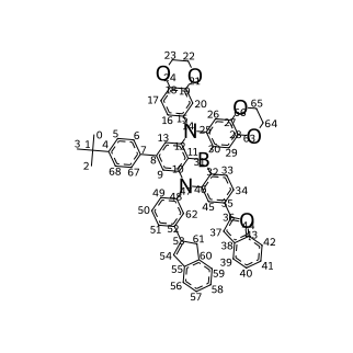 CC(C)(C)c1ccc(-c2cc3c4c(c2)N(c2ccc5c(c2)OCCO5)c2cc5c(cc2B4c2ccc(-c4cc6ccccc6o4)cc2N3c2cccc(C3=Cc4ccccc4C3)c2)OCCO5)cc1